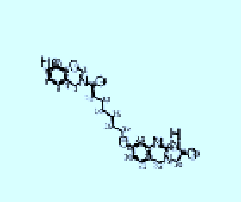 O=C(O)CN(Cc1ccccc1)C(=O)CCCCCCOc1ccc2c(c1)N=C1NC(=O)CN1C2